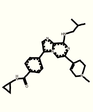 CC(C)CNc1nc(C2=CCN(C)CC2)cn2c(-c3ccc(C(=O)NC4CC4)cc3)cnc12